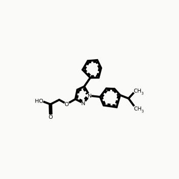 CC(C)c1ccc(-n2nc(OCC(=O)O)cc2-c2ccccc2)cc1